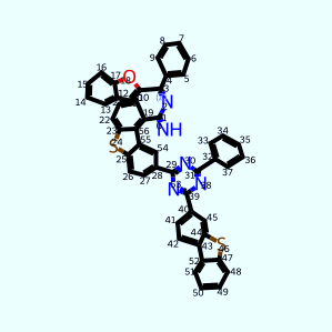 N=C(/N=C(/c1ccccc1)c1cc2ccccc2o1)c1cccc2sc3ccc(-c4nc(-c5ccccc5)nc(-c5ccc6c(c5)sc5ccccc56)n4)cc3c12